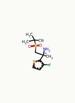 CC(C)(C#N)S(=O)(=O)C[C@](C)(N)c1sccc1F